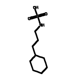 O=S(=O)(O)NCCCC1CCCCC1